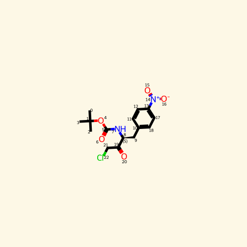 CC(C)(C)OC(=O)N[C@@H](Cc1ccc([N+](=O)[O-])cc1)C(=O)CCl